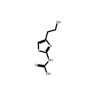 O=C(O)Nc1nc(CCO)cs1